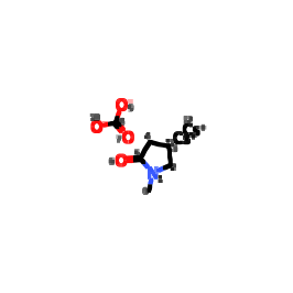 CN1CCCC1=O.O=C([O-])[O-].[Cs+].[Cs+]